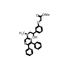 COC(=O)COc1cccc(C(O)CN(C)c2cnc(-c3ccccc3)c(-c3ccccc3)n2)c1